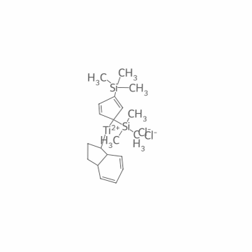 C[Si](C)(C)C1=C[C]([Ti+2][CH]2CCC3C=CC=CC32)([Si](C)(C)C)C=C1.[Cl-].[Cl-]